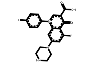 O=C(O)c1cn(-c2ccc(F)cc2)c2cc(N3CCNCC3)cc(F)c2c1=O